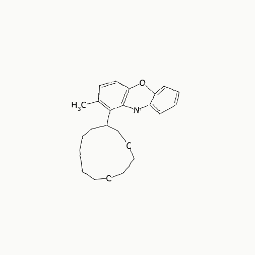 Cc1ccc2c(c1C1CCCCCCCCCC1)[N]c1ccccc1O2